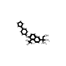 CC(N)(CO)c1ccc2c(C(F)(F)F)c(OC3CCC(C4CCCC4)CC3)ccc2c1